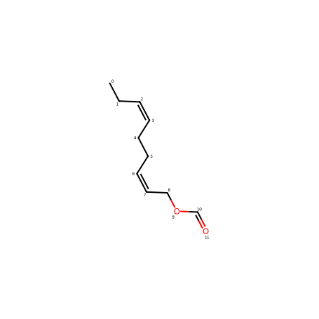 CC/C=C\CC/C=C\COC=O